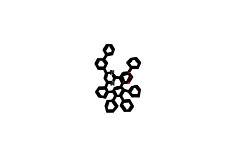 c1ccc(-c2cccc(-c3cc(-c4ccccc4-c4cc(-c5ccccc5)c(-c5ccccc5)c(-c5ccccc5)c4-c4ccccc4)nc(-c4cccc(-c5ccccc5)c4)n3)c2)cc1